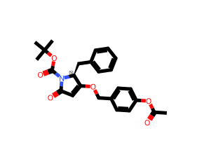 CC(=O)Oc1ccc(COC2=CC(=O)N(C(=O)OC(C)(C)C)[C@H]2Cc2ccccc2)cc1